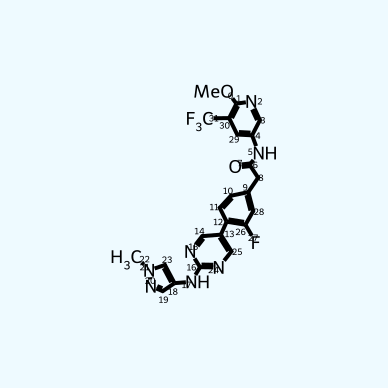 COc1ncc(NC(=O)Cc2ccc(-c3cnc(Nc4cnn(C)c4)nc3)c(F)c2)cc1C(F)(F)F